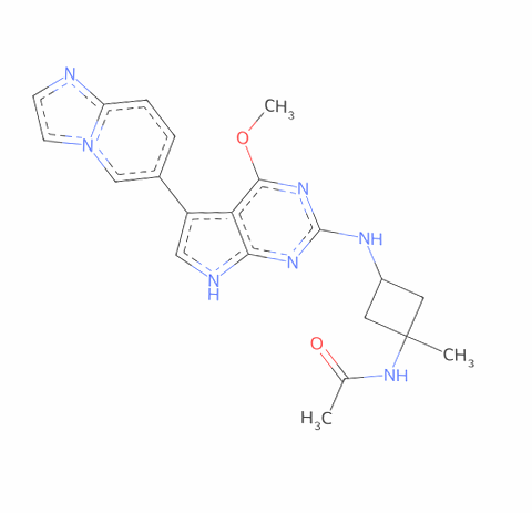 COc1nc(NC2CC(C)(NC(C)=O)C2)nc2[nH]cc(-c3ccc4nccn4c3)c12